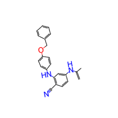 C=C(C)Nc1ccc(C#N)c(Nc2ccc(OCc3ccccc3)cc2)c1